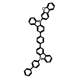 c1ccc(-c2ccc(-n3c4ccccc4c4cc(-c5ccc(-c6ccc7c(c6)c6ccccc6n7-c6ccc7c(c6)oc6ccccc67)cc5)ccc43)cc2)cc1